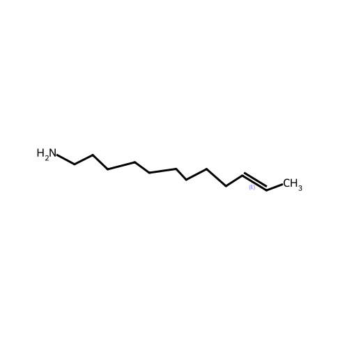 C/C=C/CCCCCCCCCN